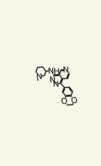 CN1CCCC(Nc2nnc(-c3ccc4c(c3)OCCO4)c3ccncc23)C1